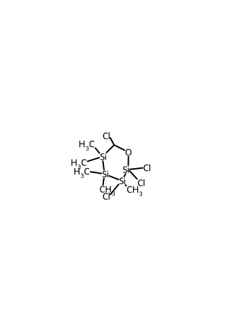 C[Si]1(C)C(Cl)O[Si](Cl)(Cl)[Si](C)(Cl)[Si]1(C)C